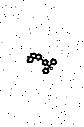 O=P(c1ccccc1)(c1ccccc1)c1ccc(-c2ccc3ccc4ncccc4c3n2)cc1